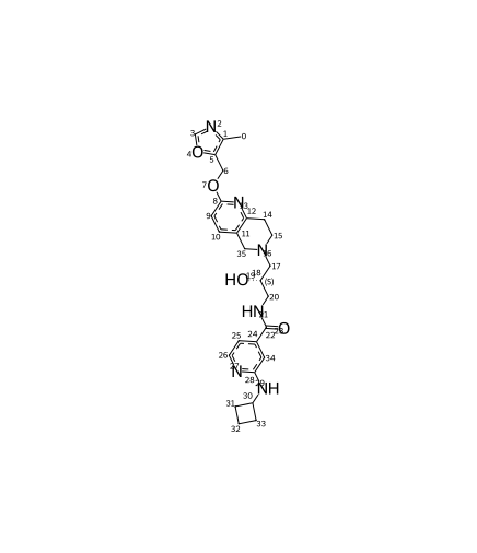 Cc1ncoc1COc1ccc2c(n1)CCN(C[C@@H](O)CNC(=O)c1ccnc(NC3CCC3)c1)C2